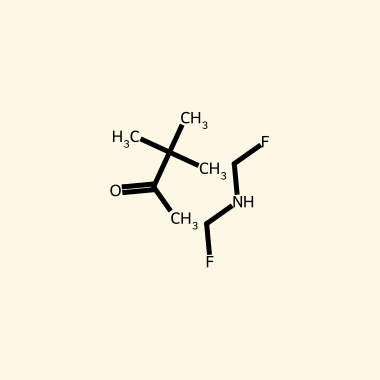 CC(=O)C(C)(C)C.FCNCF